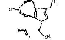 CCn1c[n+](C)c2ccc(Cl)cc21.O=C[O-]